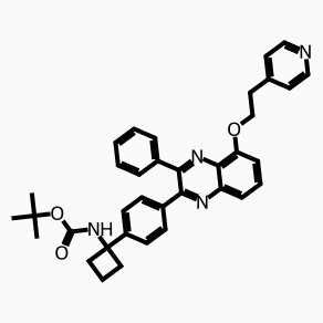 CC(C)(C)OC(=O)NC1(c2ccc(-c3nc4cccc(OCCc5ccncc5)c4nc3-c3ccccc3)cc2)CCC1